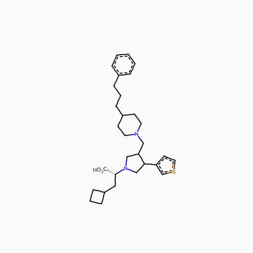 O=C(O)[C@@H](CC1CCC1)N1CC(CN2CCC(CCCc3ccccc3)CC2)C(c2ccsc2)C1